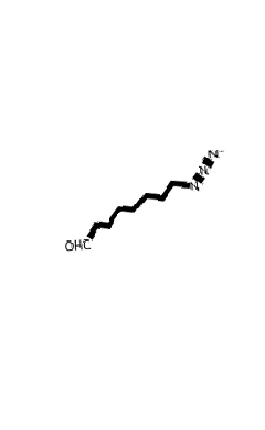 [N-]=[N+]=NCCCCCCCC=O